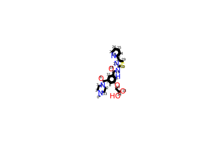 CN1CCN(C(=O)c2cc(OCC(=O)O)cc(C(=O)Nc3nc(-c4ccccn4)cs3)c2)CC1